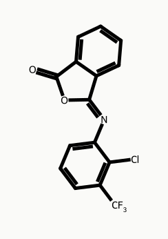 O=C1OC(=Nc2cccc(C(F)(F)F)c2Cl)c2ccccc21